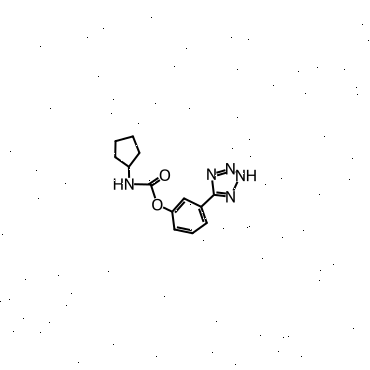 O=C(NC1CCCC1)Oc1cccc(-c2nn[nH]n2)c1